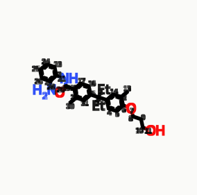 CCC(CC)(c1ccc(OCCCO)c(C)c1)c1ccc(C(=O)Nc2ccccc2N)c(C)c1